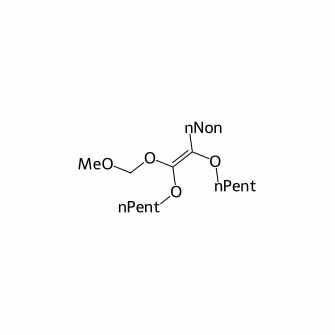 CCCCCCCCCC(OCCCCC)=C(OCCCCC)OCOC